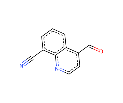 N#Cc1cccc2c(C=O)ccnc12